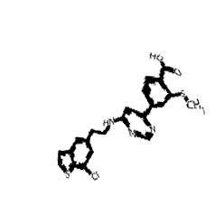 CSc1cc(-c2cc(NCCc3cc(Cl)c4sccc4c3)ncn2)ccc1C(=O)O